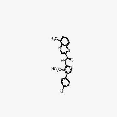 Cc1cccc2nc(C(=O)Nc3scc(-c4ccc(Cl)cc4)c3C(=O)O)cnc12